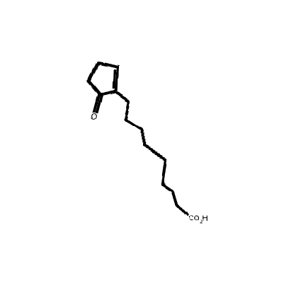 O=C(O)CCCCCCCCC1=CCCC1=O